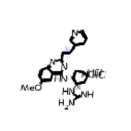 COc1ccc2nc(/C=C/c3cccnc3)nc(N[C@@H]3CCCC[C@@H]3NC(=N)N)c2c1.Cl.Cl.Cl